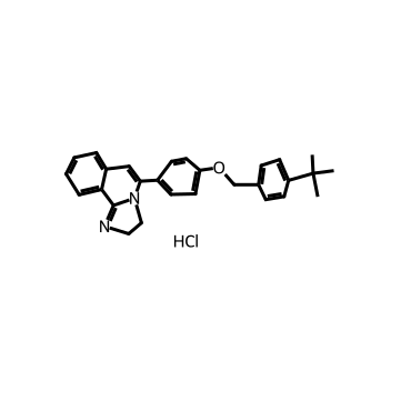 CC(C)(C)c1ccc(COc2ccc(C3=Cc4ccccc4C4=NCCN34)cc2)cc1.Cl